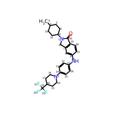 CC1CCC(N2Cc3cc(Nc4ccc(N5CCC(C(F)(F)F)CC5)cc4)ccc3C2=O)CC1